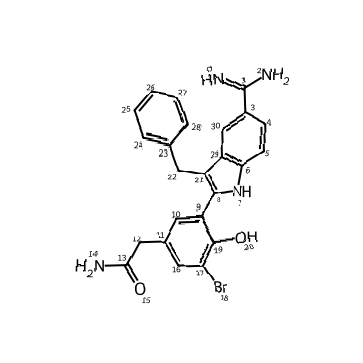 N=C(N)c1ccc2[nH]c(-c3cc(CC(N)=O)cc(Br)c3O)c(Cc3ccccc3)c2c1